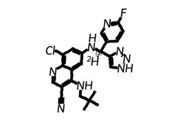 [2H][C@](Nc1cc(Cl)c2ncc(C#N)c(NCC(C)(C)C)c2c1)(c1ccc(F)nc1)c1c[nH]nn1